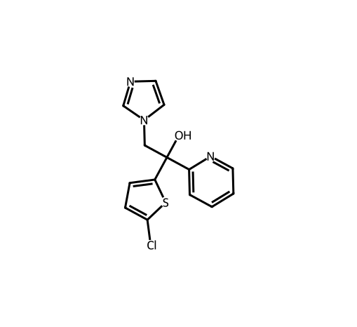 OC(Cn1ccnc1)(c1ccccn1)c1ccc(Cl)s1